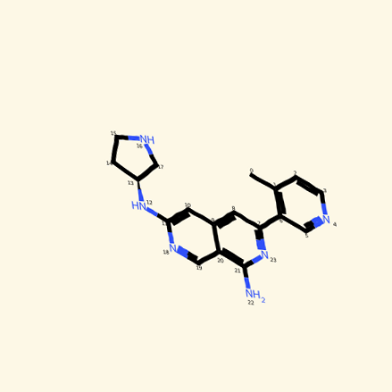 Cc1ccncc1-c1cc2cc(N[C@H]3CCNC3)ncc2c(N)n1